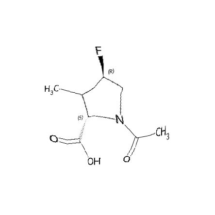 CC(=O)N1C[C@H](F)C(C)[C@H]1C(=O)O